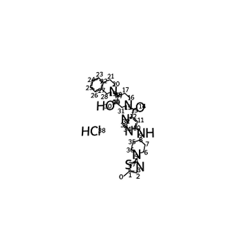 Cc1cnc(N2CCC(Nc3cc(C(=O)N4CC[C@@H](N5CCc6ccccc6C5)[C@H](O)C4)ncn3)CC2)s1.Cl